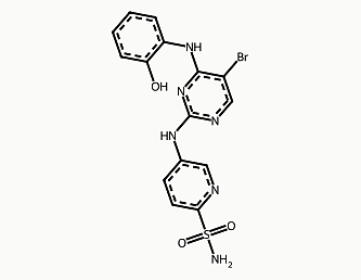 NS(=O)(=O)c1ccc(Nc2ncc(Br)c(Nc3ccccc3O)n2)cn1